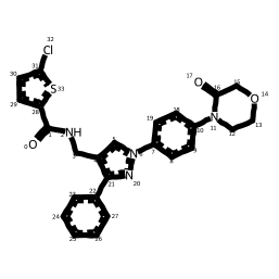 O=C(NCc1cn(-c2ccc(N3CCOCC3=O)cc2)nc1-c1ccccc1)c1ccc(Cl)s1